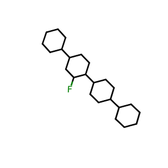 FC1CC(C2CCCCC2)CCC1C1CCC(C2CCCCC2)CC1